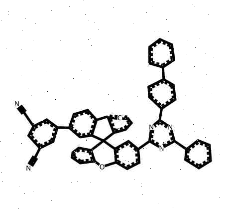 N#Cc1cc(C#N)cc(-c2ccc3c(c2)C2(c4ccccc4Oc4ccc(-c5nc(-c6ccccc6)nc(-c6ccc(-c7ccccc7)cc6)n5)cc42)c2ccccc2-3)c1